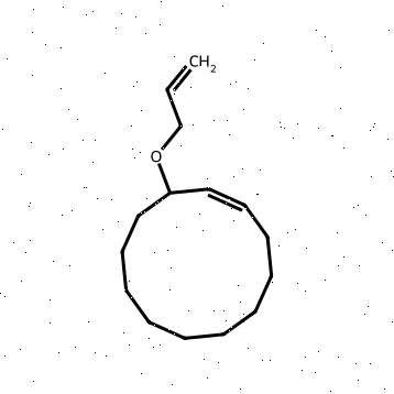 C=CCOC1C=CCCCCCCCCC1